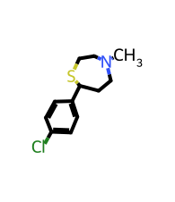 CN1CCSC(c2ccc(Cl)cc2)CC1